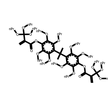 C=C(C(=O)Oc1c(OCCC)c(OCCC)c(C(C)(C)c2c(OCCC)c(OCCC)c(OC(=O)C(=C)C(OCCC)(OCCC)OCCC)c(OCCC)c2OCCC)c(OCCC)c1OCCC)C(OCCC)(OCCC)OCCC